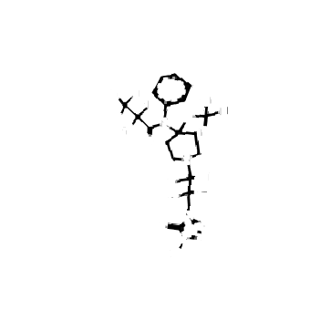 [2H]C([2H])([2H])OC1(N(C(=O)C([2H])([2H])C([2H])([2H])[2H])c2ccccc2)CCN(C([2H])([2H])C([2H])([2H])n2nnn(CC)c2=O)CC1